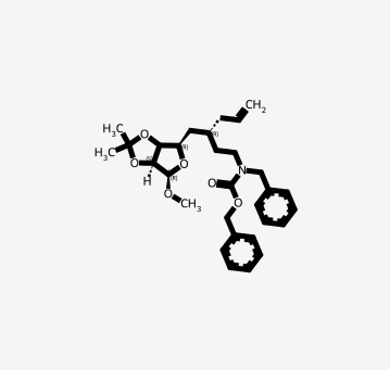 C=CC[C@H](CCN(Cc1ccccc1)C(=O)OCc1ccccc1)C[C@H]1O[C@@H](OC)[C@H]2OC(C)(C)OC12